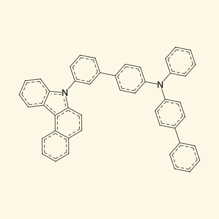 c1ccc(-c2ccc(N(c3ccccc3)c3ccc(-c4cccc(-n5c6ccccc6c6c7ccccc7ccc65)c4)cc3)cc2)cc1